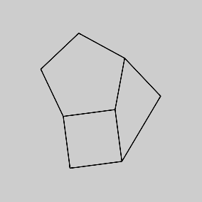 C1CC2CC3CC1C23